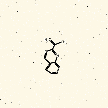 C=C(C)c1ncc2ccccc2n1